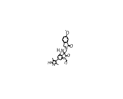 COc1ccc2c(c1)C(=O)N(C[C@@](N)(C(=O)NC=O)c1ccc(-c3c(C)n[nH]c3C)cc1)C2